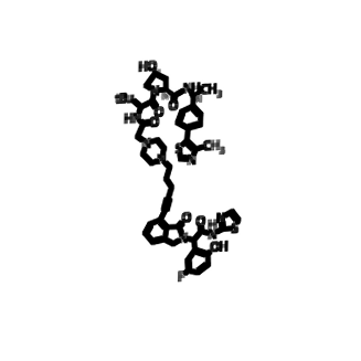 Cc1ncsc1-c1ccc([C@H](C)NC(=O)[C@@H]2C[C@@H](O)CN2C(=O)C(NC(=O)CN2CCN(CCCC#Cc3cccc4c3C(=O)N(C(C(=O)Nc3nccs3)c3cc(F)ccc3O)C4)CC2)C(C)(C)C)cc1